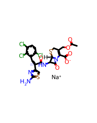 CC(=O)OCC1=C(C(=O)[O-])N2C(=O)C(NC(=O)/C(=C\c3c(Cl)ccc(Cl)c3Cl)c3csc(N)n3)[C@@H]2SC1.[Na+]